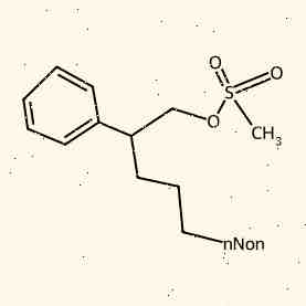 CCCCCCCCCCCCC(COS(C)(=O)=O)c1ccccc1